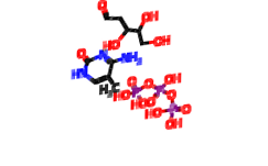 Cc1c[nH]c(=O)nc1N.O=CCC(O)C(O)CO.O=P(O)(O)OP(=O)(O)OP(=O)(O)O